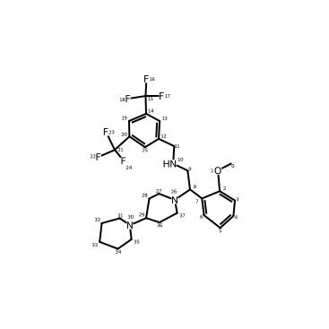 COc1ccccc1C(CNCc1cc(C(F)(F)F)cc(C(F)(F)F)c1)N1CCC(N2CCCCC2)CC1